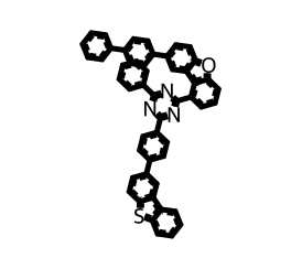 c1ccc(-c2ccc(-c3ccc4oc5cccc(-c6nc(-c7ccccc7)nc(-c7ccc(-c8ccc9sc%10ccccc%10c9c8)cc7)n6)c5c4c3)cc2)cc1